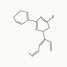 C=C/C(=C\C=C/C)C1C=C(C2=CCCC=C2)C=C(I)C1